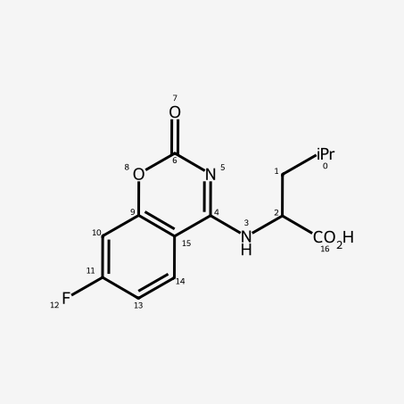 CC(C)CC(Nc1nc(=O)oc2cc(F)ccc12)C(=O)O